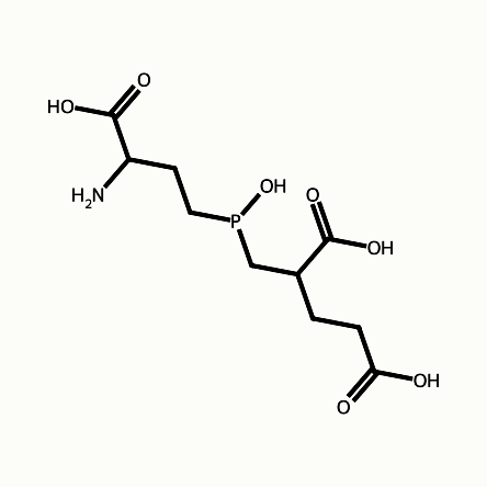 NC(CCP(O)CC(CCC(=O)O)C(=O)O)C(=O)O